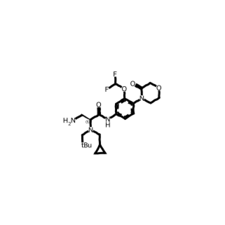 CC(C)(C)CN(CC1CC1)[C@@H](CN)C(=O)Nc1ccc(N2CCOCC2=O)c(OC(F)F)c1